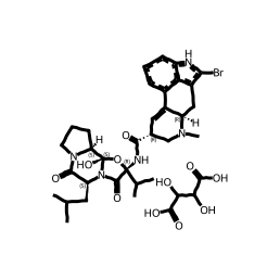 CC(C)C[C@H]1C(=O)N2CCC[C@H]2[C@]2(O)O[C@](NC(=O)[C@@H]3C=C4c5cccc6[nH]c(Br)c(c56)C[C@H]4N(C)C3)(C(C)C)C(=O)N12.O=C(O)C(O)C(O)C(=O)O